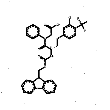 O=C(O)CN(C(=O)[C@H](CCc1ccc(C(F)(F)F)c(Cl)c1)NC(=O)OCC1c2ccccc2-c2ccccc21)c1ccccc1